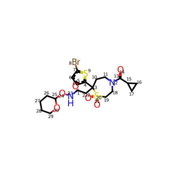 O=C(CC1(c2ccc(Br)s2)CCN(C(=O)C2CC2)CCS1(=O)=O)NOC1CCCCO1